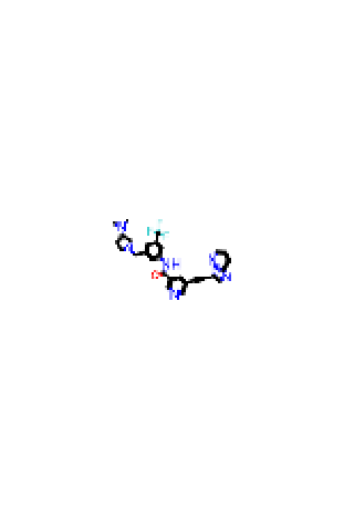 CN(C)[C@H]1CCN(Cc2cc(NC(=O)c3cncc(C#Cc4cnc5cccnn45)c3)cc(C(F)(F)F)c2)C1